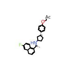 CC(=O)COc1ccc([C@@H]2CCC(N[C@H](C)C3=C4C=CC(F)=CC4CC=C3)C2)cc1